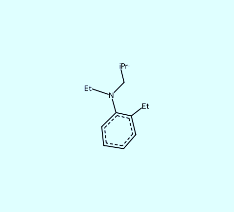 CCc1ccccc1N(CC)C[C](C)C